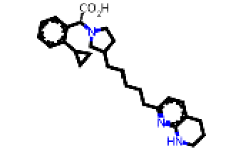 O=C(O)[C@H](c1ccccc1C1CC1)N1CCC(CCCCCc2ccc3c(n2)NCCC3)C1